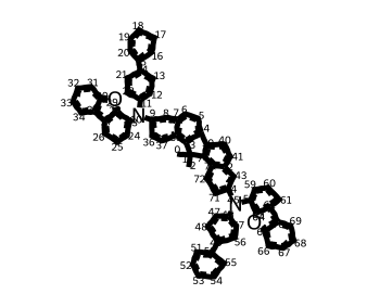 CC1(C)c2c(ccc3cc(N(c4ccc(-c5ccccc5)cc4)c4cccc5c4oc4ccccc45)ccc23)-c2ccc3cc(N(c4ccc(-c5ccccc5)cc4)c4cccc5c4oc4ccccc45)ccc3c21